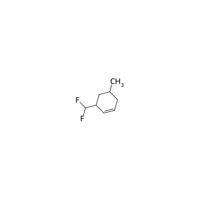 CC1CC=CC(C(F)F)C1